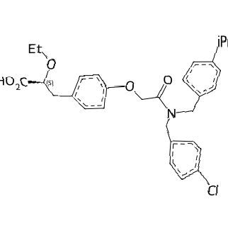 CCO[C@@H](Cc1ccc(OCC(=O)N(Cc2ccc(Cl)cc2)Cc2ccc(C(C)C)cc2)cc1)C(=O)O